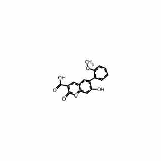 COc1ccccc1-c1cc2cc(C(=O)O)c(=O)oc2cc1O